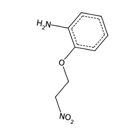 Nc1ccccc1OCC[N+](=O)[O-]